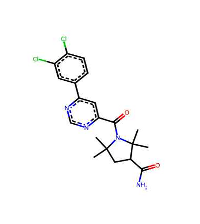 CC1(C)CC(C(N)=O)C(C)(C)N1C(=O)c1cc(-c2ccc(Cl)c(Cl)c2)ncn1